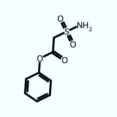 NS(=O)(=O)CC(=O)Oc1ccccc1